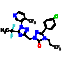 CC(F)(F)c1nc(Cn2nc(-c3ccc(Cl)cc3)n(CCC(F)(F)F)c2=O)nn1-c1cnccc1C(F)(F)F